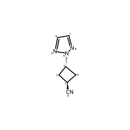 N#C[C@H]1C[C@H](n2nccn2)C1